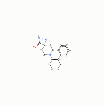 NC(=O)C1(N)CCN(C2CCCCC2c2ccccc2)CC1